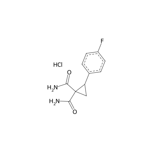 Cl.NC(=O)C1(C(N)=O)CC1c1ccc(F)cc1